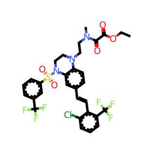 CCOC(=O)C(=O)N(C)CCN1CCN(S(=O)(=O)c2cccc(C(F)(F)F)c2)c2cc(/C=C/c3c(Cl)cccc3C(F)(F)F)ccc21